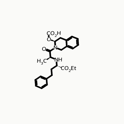 CCOC(=O)[C@H](CCc1ccccc1)N[C@@H](C)C(=O)N1Cc2ccccc2C[C@@H]1OC(=O)O